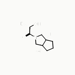 CC[C@H](O)C(=O)N1C[C@H]2CCC[C@H]2C1